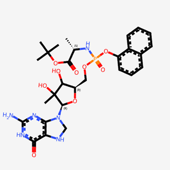 C[C@H](NP(=O)(OC[C@H]1O[C@@H](N2CNc3c2nc(N)[nH]c3=O)C(C)(O)C1O)Oc1cccc2ccccc12)C(=O)OC(C)(C)C